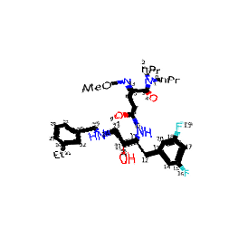 CCCN(CCC)C(=O)/C(CCC(=O)N[C@@H](Cc1cc(F)cc(F)c1)[C@H](O)CNCc1cccc(CC)c1)=N/OC